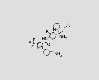 NCc1cccc(-n2nc(C(F)(F)F)cc2C(=O)Nc2ccc(C(N)(CCC3CC3)c3ccccn3)cc2F)c1